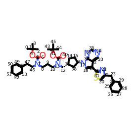 CC(C)(C)OC(=O)N(CCCN(C[C@@H]1CC[C@H](n2cc(-c3nc(Cc4ccccc4)cs3)c3cncnc32)C1)C(=O)OC(C)(C)C)CCc1ccccc1